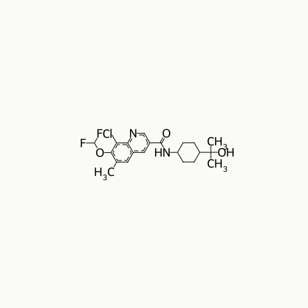 Cc1cc2cc(C(=O)NC3CCC(C(C)(C)O)CC3)cnc2c(Cl)c1OC(F)F